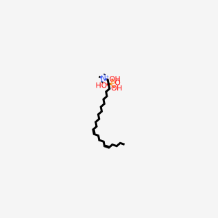 CCCC/C=C\CCC/C=C\CCCCCCCCCCCC(O)(C[N+](C)(C)C)P(=O)(O)O